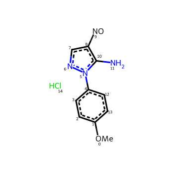 COc1ccc(-n2ncc(N=O)c2N)cc1.Cl